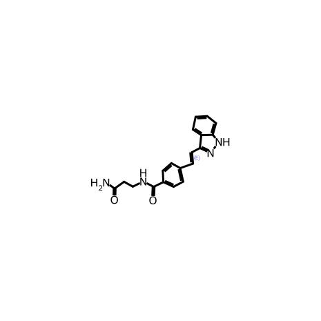 NC(=O)CCNC(=O)c1ccc(/C=C/c2n[nH]c3ccccc23)cc1